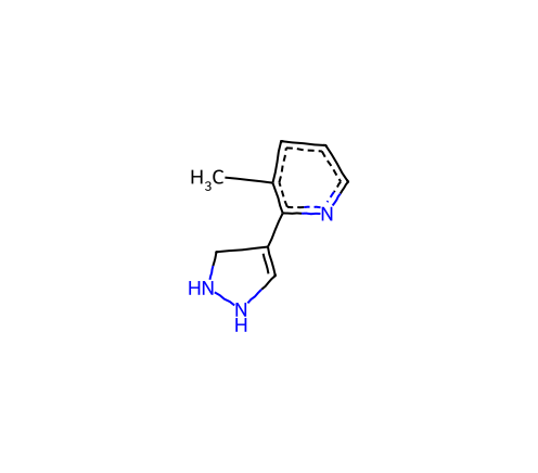 Cc1cccnc1C1=CNNC1